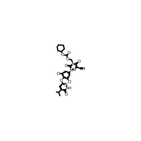 CC(C)c1cc(Oc2c(Cl)cc(-n3nc(C#N)c(=O)n(COC(=O)OC4CCCCC4)c3=O)cc2Cl)n[nH]c1=O